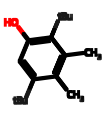 Cc1c(C(C)(C)C)cc(O)c(C(C)(C)C)c1C